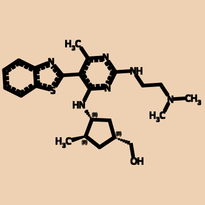 Cc1nc(NCCN(C)C)nc(N[C@@H]2C[C@H](CO)C[C@H]2C)c1-c1nc2ccccc2s1